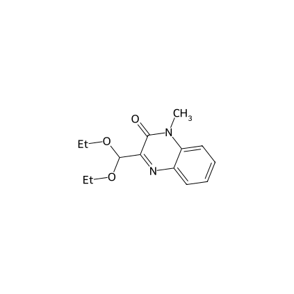 CCOC(OCC)c1nc2ccccc2n(C)c1=O